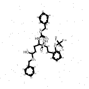 O=C(NC(CCC(O)OCc1ccccc1)P(=O)(O)CCc1ccccc1OC(F)(F)F)OCc1ccccc1